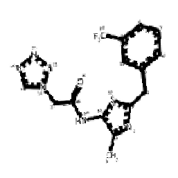 Cc1nc(Cc2cccc(C(F)(F)F)c2)sc1NC(=O)Cn1cnnn1